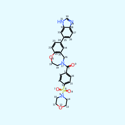 O=C(c1ccc(S(=O)(=O)N2CCOCC2)cc1)N1CCOc2ccc(-c3ccc4nc[nH]c4c3)cc2C1